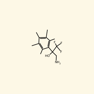 Cc1c(C)c(C)c(C(O)(CN)C(F)(F)F)c(C)c1C